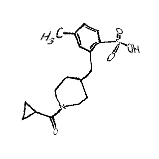 Cc1ccc(S(=O)(=O)O)c(CC2CCN(C(=O)C3CC3)CC2)c1